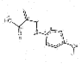 C=C(CSc1ccc(OC)cc1)C(=O)O